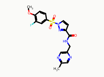 COc1ccc(S(=O)(=O)n2ccc(C(=O)NCc3cnc(C)cn3)n2)cc1F